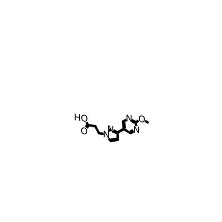 COc1ncc(-c2ccn(CCC(=O)O)n2)cn1